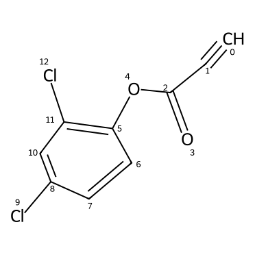 C#CC(=O)Oc1ccc(Cl)cc1Cl